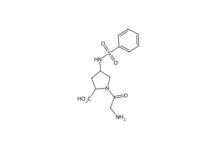 NCC(=O)N1CC(NS(=O)(=O)c2ccccc2)CC1C(=O)O